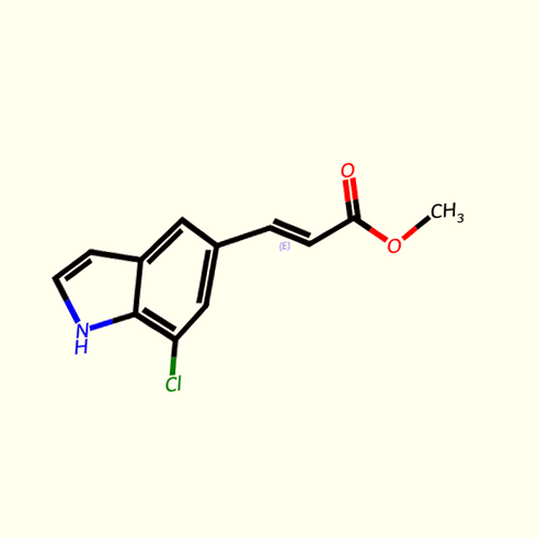 COC(=O)/C=C/c1cc(Cl)c2[nH]ccc2c1